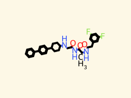 C[C@H](NC(=O)Cc1cc(F)cc(F)c1)C(=O)NC(=O)CNC1CCC(c2ccc(-c3ccccc3)cc2)CC1